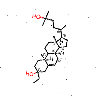 CC[C@]1(O)CC[C@@]2(C)C(=C[C@@H](C)[C@H]3[C@@H]4CC[C@H]([C@H](C)CCC(C)(C)O)[C@@]4(C)CC[C@@H]32)C1